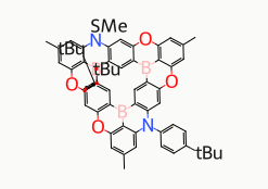 CSN1c2cc3c(cc2B2c4cc(C(C)(C)C)ccc4Oc4cc(C)cc1c42)B1c2cc4c(cc2Oc2cc(C)cc(c21)O3)N(c1ccc(C(C)(C)C)cc1)c1cc(C)cc2c1B4c1cc(C(C)(C)C)ccc1O2